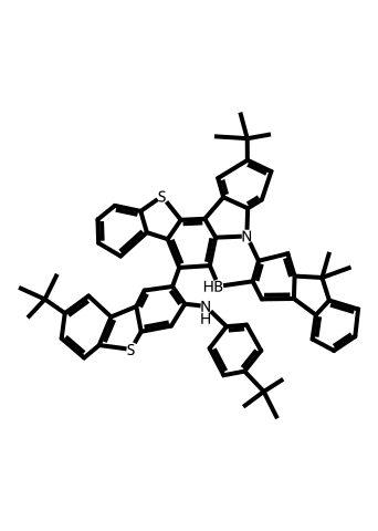 CC(C)(C)c1ccc(Nc2cc3sc4ccc(C(C)(C)C)cc4c3cc2-c2c3c4c(c5cc(C(C)(C)C)ccc5n4-c4cc5c(cc4B3)-c3ccccc3C5(C)C)c3sc4ccccc4c23)cc1